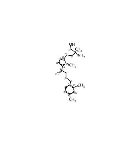 Cc1ccc(CCCC(=O)c2ccc(CCC(C)(N)CO)n2C)c(C)c1